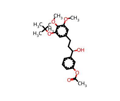 COc1cc(CC[C@@H](O)c2cccc(OC(C)=O)c2)cc(OC(C)(C)C)c1OC